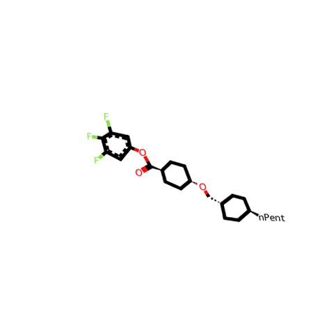 CCCCC[C@H]1CC[C@H](CO[C@H]2CC[C@H](C(=O)Oc3cc(F)c(F)c(F)c3)CC2)CC1